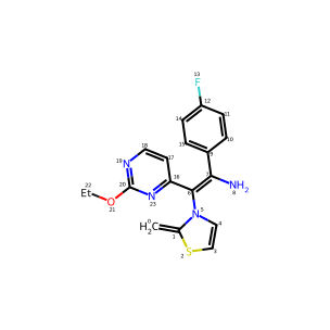 C=C1SC=CN1/C(=C(\N)c1ccc(F)cc1)c1ccnc(OCC)n1